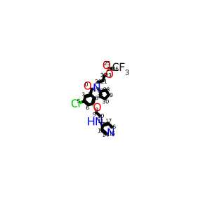 O=C(c1cc(Cl)cc(OCCNc2ccncc2)c1)N(CCCOC(=O)C(F)(F)F)C1CCCC1